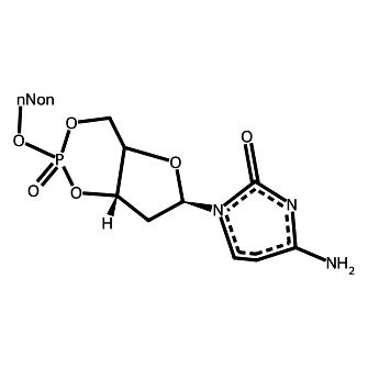 CCCCCCCCCOP1(=O)OCC2O[C@@H](n3ccc(N)nc3=O)C[C@@H]2O1